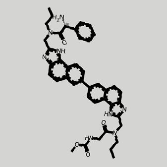 CCCN(Cc1nc2ccc3cc(-c4ccc5c(ccc6nc(CN(CCC)C(=O)[C@H](N)c7ccccc7)[nH]c65)c4)ccc3c2[nH]1)C(=O)CNC(=O)OC